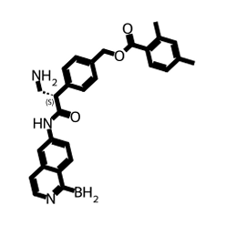 Bc1nccc2cc(NC(=O)[C@H](CN)c3ccc(COC(=O)c4ccc(C)cc4C)cc3)ccc12